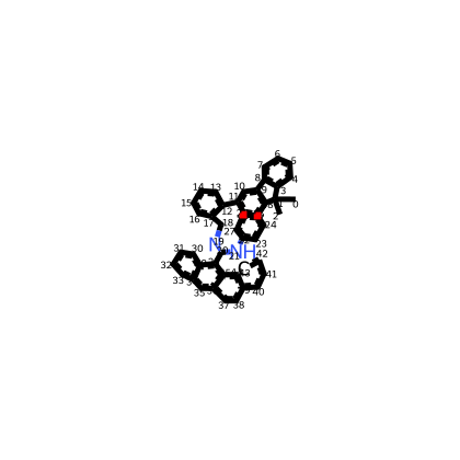 CC1(C)c2ccccc2-c2cc(-c3ccccc3C/N=C(\Nc3ccccc3)c3c4ccccc4cc4ccc5ccccc5c34)ccc21